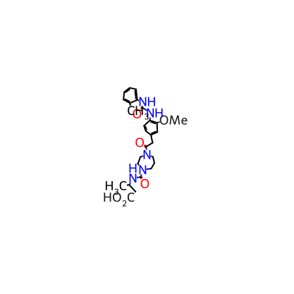 COc1cc(CC(=O)N2CCCN(C(=O)NC(C)CC(=O)O)CC2)ccc1NC(=O)Nc1ccccc1C